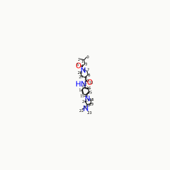 CC(C)CC(=O)N1CCC(C(=O)Nc2ccc(N3CCC(N(C)C)C3)cc2)CC1